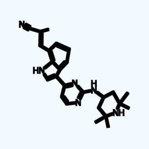 C/C(C#N)=C\c1cccc2c(-c3ccnc(NC4CC(C)(C)NC(C)(C)C4)n3)c[nH]c12